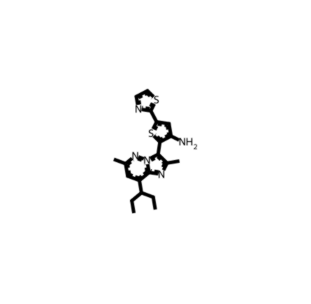 CCC(CC)c1cc(C)nn2c(-c3sc(-c4nccs4)cc3N)c(C)nc12